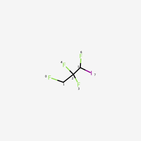 FCC(F)(F)C(F)I